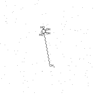 CCCCCCCCCCCCCCCCCCC[C@@]1(O)OC[C@@H](O)[C@H](O)[C@H]1O